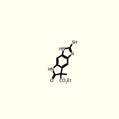 CCOC(=O)C1(C)C(=O)Nc2cc3[nH]c(S)nc3cc21